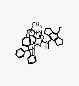 C[C@@H]1COc2c(S(=O)(=NC(=O)Nc3c4c(c(F)c5c3CCC5)CCC4)NC(c3ccccc3)(c3ccccc3)c3ccccc3)cnn21